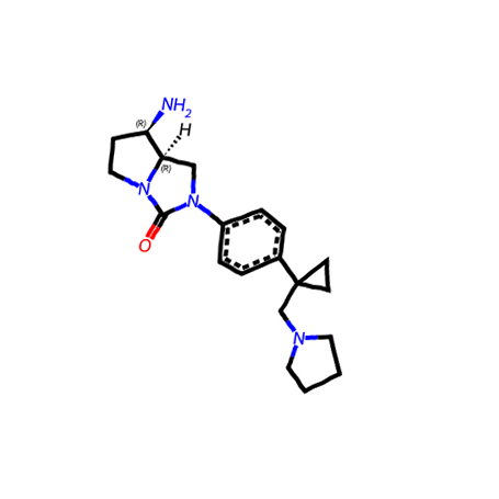 N[C@@H]1CCN2C(=O)N(c3ccc(C4(CN5CCCC5)CC4)cc3)C[C@H]12